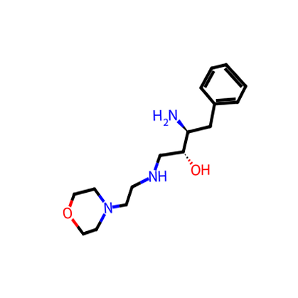 N[C@@H](Cc1ccccc1)[C@H](O)CNCCN1CCOCC1